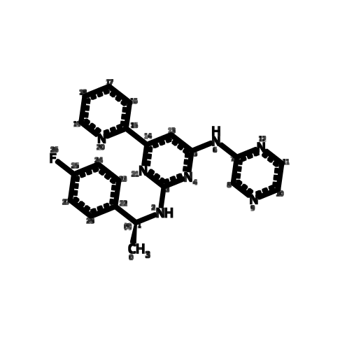 C[C@H](Nc1nc(Nc2cnccn2)cc(-c2ccccn2)n1)c1ccc(F)cc1